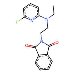 CCN(CCN1C(=O)c2ccccc2C1=O)c1cccc(F)n1